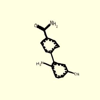 N#Cc1ccc(N)c(-c2ccc(C(N)=O)cc2)c1